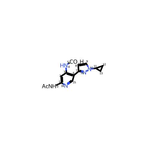 CC(=O)Nc1cc(NC(=O)O)c(-c2ccn(C3CC3)n2)cn1